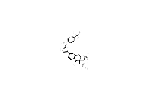 O=C(O)CC1(CC(F)(F)F)CCc2cc(-c3cnc(Nc4ccc(C(F)(F)F)nc4)s3)ccc2C1=O